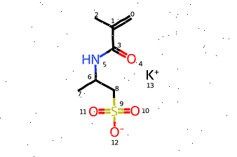 C=C(C)C(=O)NC(C)CS(=O)(=O)[O-].[K+]